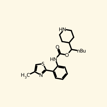 CCCCC(OC(=O)Nc1ccccc1-c1nc(C)cs1)C1CCNCC1